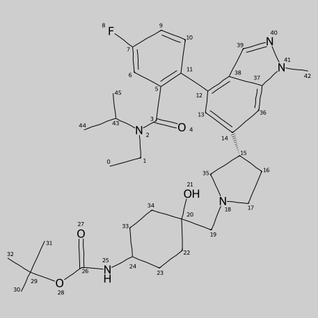 CCN(C(=O)c1cc(F)ccc1-c1cc([C@@H]2CCN(CC3(O)CCC(NC(=O)OC(C)(C)C)CC3)C2)cc2c1cnn2C)C(C)C